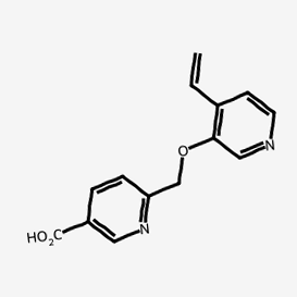 C=Cc1ccncc1OCc1ccc(C(=O)O)cn1